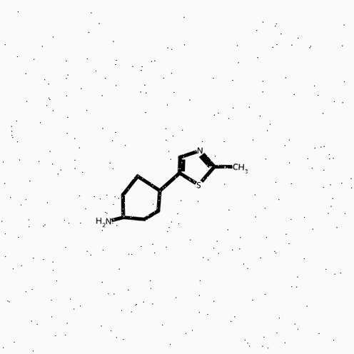 Cc1ncc(C2CCC(N)CC2)s1